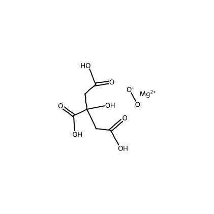 O=C(O)CC(O)(CC(=O)O)C(=O)O.[Mg+2].[O-][O-]